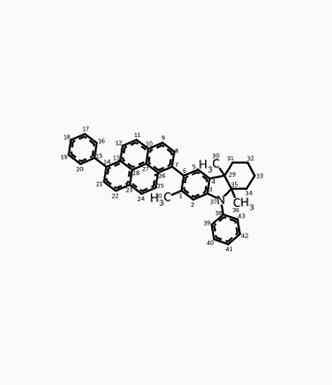 Cc1cc2c(cc1-c1ccc3ccc4c(-c5ccccc5)ccc5ccc1c3c54)C1(C)CCCCC1(C)N2c1ccccc1